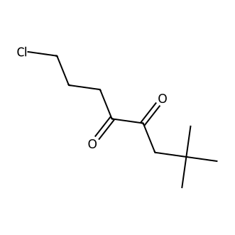 CC(C)(C)CC(=O)C(=O)CCCCl